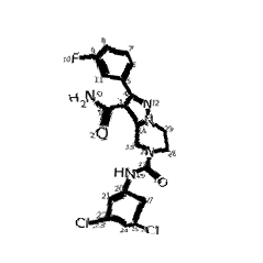 NC(=O)c1c(-c2cccc(F)c2)nn2c1CN(C(=O)Nc1cc(Cl)cc(Cl)c1)CC2